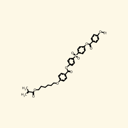 C=C(C)C(=O)OCCCCCCOc1ccc(C(=O)Oc2ccc(S(=O)(=O)c3ccc(OC(=O)c4ccc(OCC)cc4)cc3)cc2)cc1